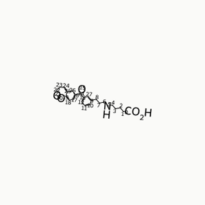 O=C(O)CCCCNCCCc1cccc(C(=O)C2=CC=C3OOCCC=C3C2)c1